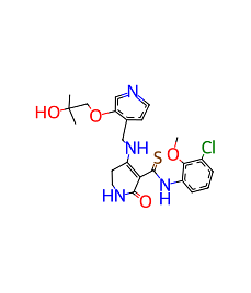 COc1c(Cl)cccc1NC(=S)C1=C(NCc2ccncc2OCC(C)(C)O)CCNC1=O